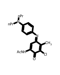 CCCN(CCC)c1ccc(N=C2C=C(NC(C)=O)C(=O)C(Cl)=C2C)cc1